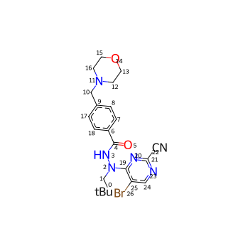 CC(C)(C)CN(NC(=O)c1ccc(CN2CCOCC2)cc1)c1nc(C#N)ncc1Br